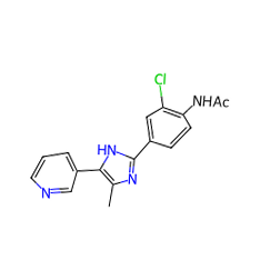 CC(=O)Nc1ccc(-c2nc(C)c(-c3cccnc3)[nH]2)cc1Cl